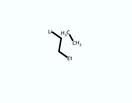 CC.[Li][CH2]CCC